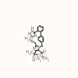 COCc1nc(C(C)(C)O)c(C(=O)OC)n1Cc1ccc(-c2ccccc2-c2nnn[nH]2)cc1